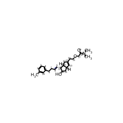 Cc1cccc(CC/C=C/[C@@H]2[C@H]3CC(CCOCC(=O)N(C)C)=C[C@H]3C[C@H]2O)c1